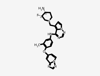 Cc1cc(Nc2ncnn3ccc(CN4CC[C@@H](N)[C@@H](F)C4)c23)ccc1Oc1ccn2ncnc2c1